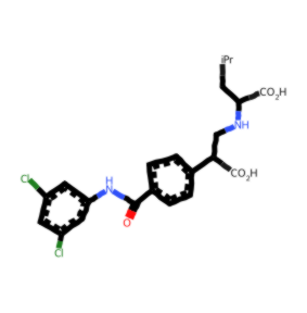 CC(C)CC(NCC(C(=O)O)c1ccc(C(=O)Nc2cc(Cl)cc(Cl)c2)cc1)C(=O)O